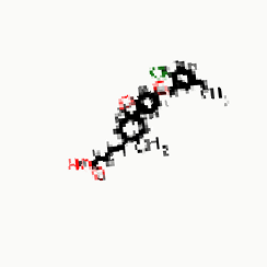 C=C1CCC2(CCC1CCCCC(=O)O)COc1cc(OCc3cc(CC)ccc3Cl)ccc12